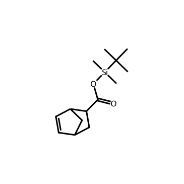 CC(C)(C)[Si](C)(C)OC(=O)C1CC2C=CC1C2